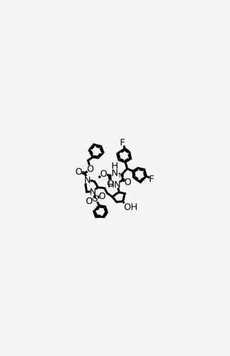 COC(=O)N[C@@H](C(=O)NC1CC(O)CC1CCC1CN(C(=O)OCc2ccccc2)CCN1S(=O)(=O)c1ccccc1)C(c1ccc(F)cc1)c1ccc(F)cc1